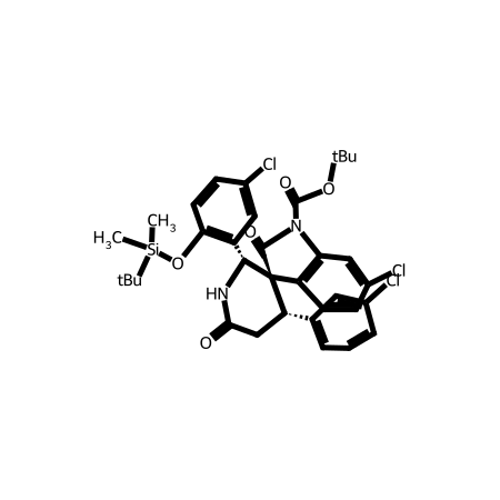 CC(C)(C)OC(=O)N1C(=O)[C@]2(c3ccc(Cl)cc31)[C@@H](c1cc(Cl)ccc1O[Si](C)(C)C(C)(C)C)NC(=O)C[C@H]2c1cccc(Cl)c1